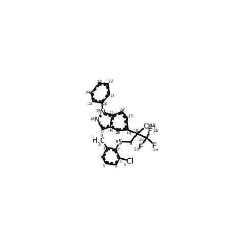 Cc1cccc(Cl)c1SCC(O)(c1ccc2c(cnn2-c2ccccc2)c1)C(F)(F)F